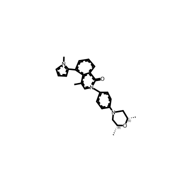 Cc1cn(-c2ccc(N3C[C@@H](C)O[C@@H](C)C3)cc2)c(=O)c2cccc(-c3cccn3C)c12